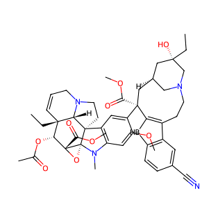 CC[C@]1(O)C[C@H]2CN(CCC3=C(Bc4ccc(C#N)cc43)[C@@](C(=O)OC)(c3cc4c(cc3OC)N(C)[C@@]35O[C@]3(C(=O)OC)[C@H](OC(C)=O)[C@]3(CC)C=CCN6CC[C@]45[C@@H]63)C2)C1